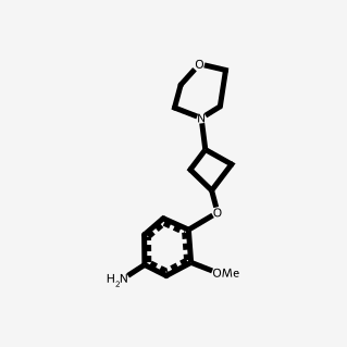 COc1cc(N)ccc1OC1CC(N2CCOCC2)C1